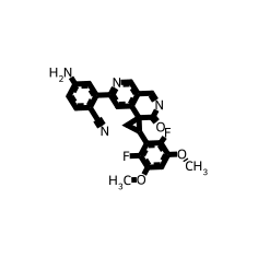 COc1cc(OC)c(F)c(C2CC23C(=O)N=Cc2cnc(-c4cc(N)ccc4C#N)cc23)c1F